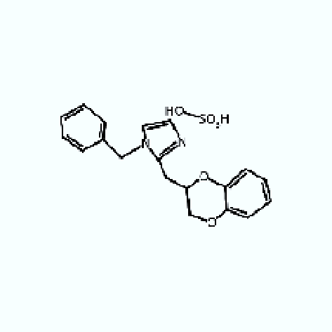 O=S(=O)(O)O.c1ccc(Cn2ccnc2CC2COc3ccccc3O2)cc1